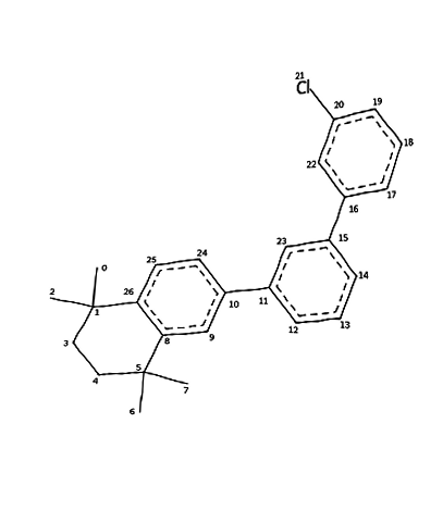 CC1(C)CCC(C)(C)c2cc(-c3cccc(-c4cccc(Cl)c4)c3)ccc21